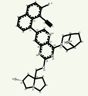 C#Cc1c(F)ccc2cccc(-c3cnc4c(N5CC6CCC(C5)N6)nc(OCC56CCCN5C[C@H](F)C6)nc4c3)c12